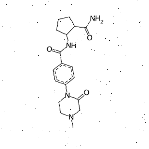 CN1CCN(c2ccc(C(=O)NC3CCCC3C(N)=O)cc2)C(=O)C1